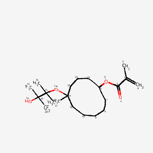 C=C(C)C(=O)OC1CCCCCC(C)(OC(C)(C)C(O)(C(F)(F)F)C(F)(F)F)CCC1